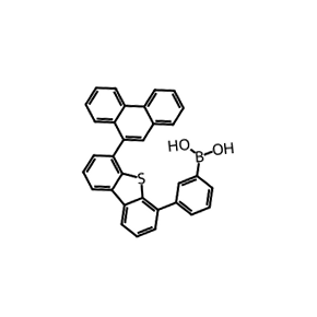 OB(O)c1cccc(-c2cccc3c2sc2c(-c4cc5ccccc5c5ccccc45)cccc23)c1